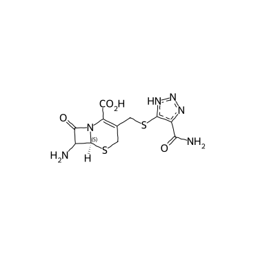 NC(=O)c1nn[nH]c1SCC1=C(C(=O)O)N2C(=O)C(N)[C@@H]2SC1